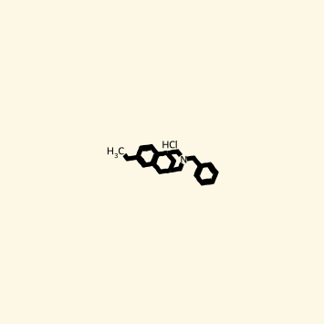 CCc1ccc2c(c1)CC1CC2CN(Cc2ccccc2)C1.Cl